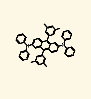 Cc1cc(C)cc(-c2c3ccc(N(c4ccccc4)c4ccccc4)cc3c(-c3cc(C)cc(C)c3)c3ccc(N(c4ccccc4)c4ccccc4)cc23)c1